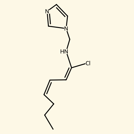 CCC/C=C\C=C(\Cl)NCn1ccnc1